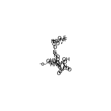 C#C[C@H]1CC(F)(F)CN1C(=O)CNC(=O)c1ccnc2ccc(OCCCN3CCN(C(=O)CC(=O)NC(=O)[C@H](CC[C@@H](C)NC(=O)CCCc4ccc(C)cc4)NC(=O)CN4CCN(COC=O)CCN(COC=O)CCN(CC(=O)O)CC4)CC3)cc12